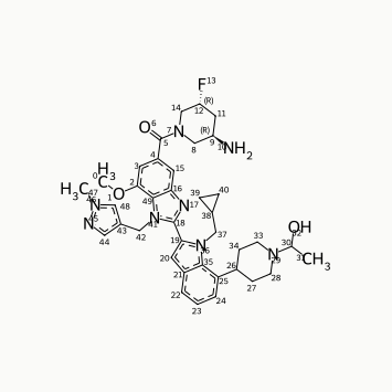 COc1cc(C(=O)N2C[C@H](N)C[C@@H](F)C2)cc2nc(-c3cc4cccc(C5CCN(C(C)O)CC5)c4n3CC3CC3)n(Cc3cnn(C)c3)c12